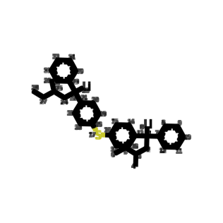 [Li][C](CC(C)CC)(c1ccccc1)c1ccc(Sc2ccc([C]([Li])(CC(C)CC)c3ccccc3)cc2)cc1